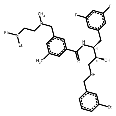 CCc1cccc(CNC[C@H](O)[C@H](Cc2cc(F)cc(F)c2)NC(=O)c2cc(C)cc(CN(C)CCN(CC)CC)c2)c1